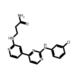 NC(=O)CCNc1cc(-c2ccnc(Nc3cccc(Cl)c3)n2)ccn1